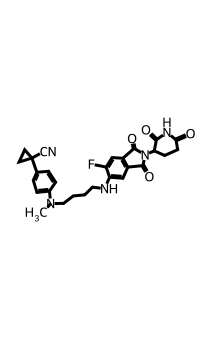 CN(CCCCNc1cc2c(cc1F)C(=O)N(C1CCC(=O)NC1=O)C2=O)c1ccc(C2(C#N)CC2)cc1